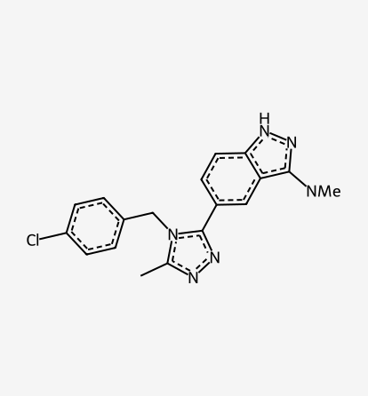 CNc1n[nH]c2ccc(-c3nnc(C)n3Cc3ccc(Cl)cc3)cc12